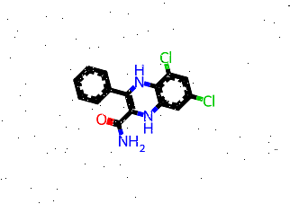 NC(=O)C1=C(c2ccccc2)Nc2c(Cl)cc(Cl)cc2N1